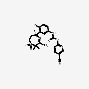 CC1(C)C(N)=N[C@](C)(c2cc(NC(=O)Oc3ccc(C#N)cn3)ccc2F)CCS1(=O)=O